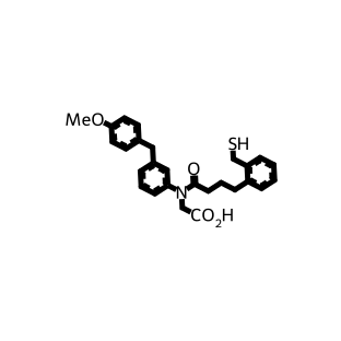 COc1ccc(Cc2cccc(N(CC(=O)O)C(=O)CCCc3ccccc3CS)c2)cc1